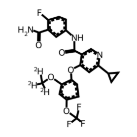 [2H]C([2H])([2H])Oc1cc(OC(F)(F)F)ccc1Oc1cc(C2CC2)ncc1C(=O)Nc1ccc(F)c(C(N)=O)c1